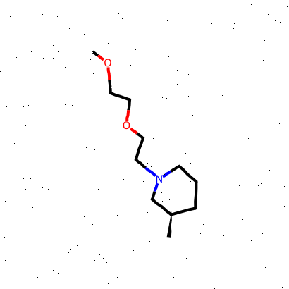 COCCOCCN1CCC[C@@H](C)C1